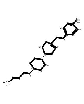 CCCCC[C@H]1CC[C@H](C2CC=C(CCc3ccc(Br)cc3)CC2)CC1